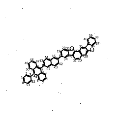 c1ccc(-c2c3ccccc3c(-c3ccc4cc(-c5ccc6oc7c8cc9c(cc8ccc7c6c5)oc5ccccc59)ccc4c3)c3ccccc23)cc1